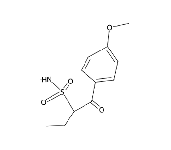 CCC(C(=O)c1ccc(OC)cc1)S([NH])(=O)=O